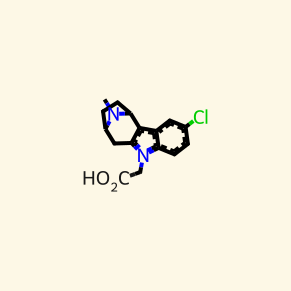 CN1C2CCC1c1c(n(CC(=O)O)c3ccc(Cl)cc13)C2